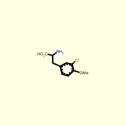 COc1ccc(CC(N)C(=O)O)cc1Cl